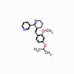 COc1cc(OC(C)C)ccc1/C=C1\CCCN=C1c1cccnc1